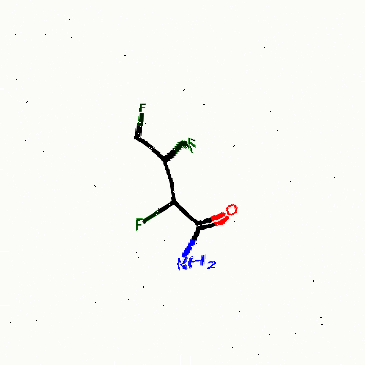 NC(=O)C(F)C(F)CF